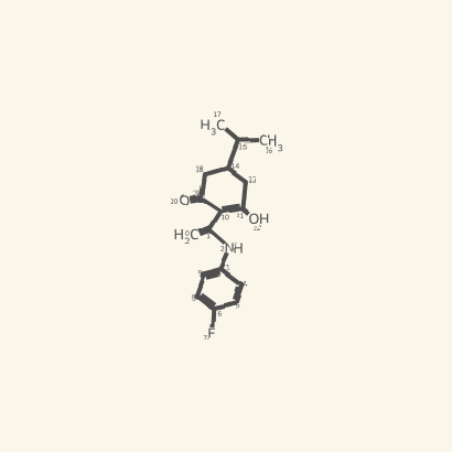 C=C(Nc1ccc(F)cc1)C1=C(O)CC(C(C)C)CC1=O